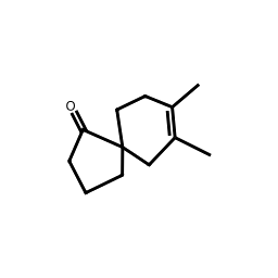 CC1=C(C)CC2(CCCC2=O)CC1